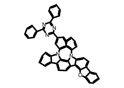 c1ccc(-c2nc(-c3ccccc3)nc(-c3cccc(-n4c5ccccc5c5ccc6c7c8oc9ccccc9c8ccc7n(-c7ccccc7)c6c54)c3)n2)cc1